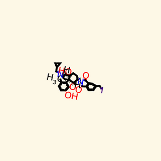 Cc1ccc(O)c2c1[C@]13CC4[C@@H](N4CC4CC4)[C@]1(O)CC[C@@H](N1C(=O)c4ccc(CI)cc4C1=O)[C@@H]3O2